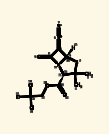 CC1(C)S[C@@H]2C(=[N+]=[N-])C(=O)N2[C@H]1C(=O)OCC(Cl)(Cl)Cl